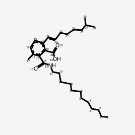 CCCCCCCCCCCCNC(=O)c1c(C)ccc(C=CCCCCC(C)C)c1C(=O)O